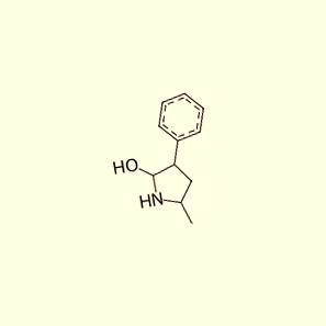 CC1CC(c2ccccc2)C(O)N1